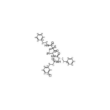 CC(C)[C@H](NC(=O)[C@H](CCc1ccccc1)NC(=O)CCc1cccc(Cl)c1)C(=O)C(F)(F)C(=O)NCCc1ccccc1